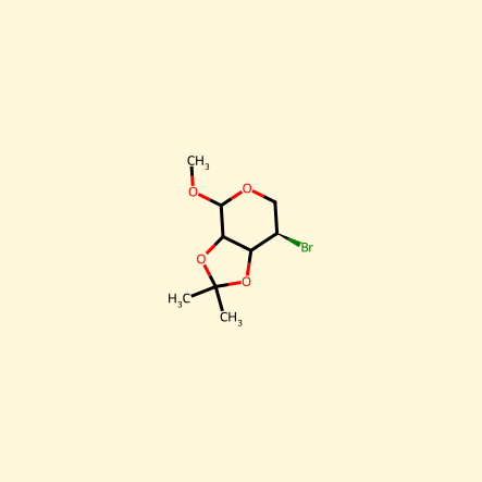 COC1OC[C@@H](Br)C2OC(C)(C)OC12